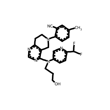 Cc1ccc(N2CCc3ncnc(N(CCCO)c4ccc(C(F)F)nc4)c3C2)c(C#N)c1